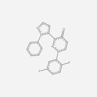 O=c1ccn(-c2cc(F)ccc2F)nc1-c1ccnn1-c1ccccc1